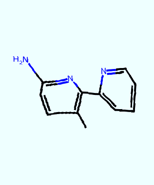 Cc1ccc(N)nc1-c1ccccn1